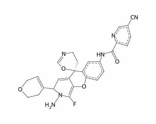 N#Cc1ccc(C(=O)Nc2ccc3c(c2)[C@@]2(CCN=CO2)C2=CC(C4=CCOCC4)N(N)C(F)=C2O3)nc1